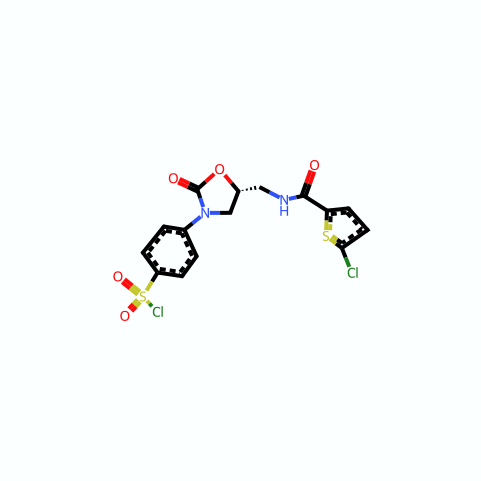 O=C(NC[C@@H]1CN(c2ccc(S(=O)(=O)Cl)cc2)C(=O)O1)c1ccc(Cl)s1